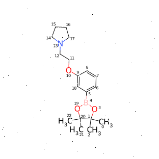 CC1(C)OB(c2cccc(OCCN3CCCC3)c2)OC1(C)C